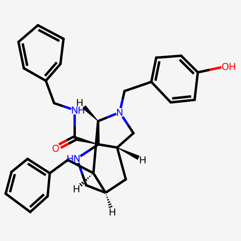 O=C(NCc1ccccc1)[C@]12NC[C@@H]3C[C@H]1CN(Cc1ccc(O)cc1)[C@H]2[C@@H]3Cc1ccccc1